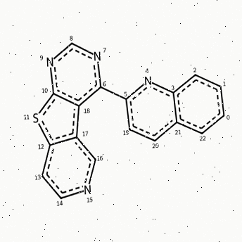 c1ccc2nc(-c3ncnc4sc5ccncc5c34)ccc2c1